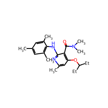 CCC(CC)Oc1cc(C)nc(Nc2c(C)cc(C)cc2C)c1C(=O)N(C)C